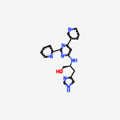 OC[C@H](Cc1c[nH]cn1)Nc1cc(-c2cccnc2)nc(-c2ccccn2)n1